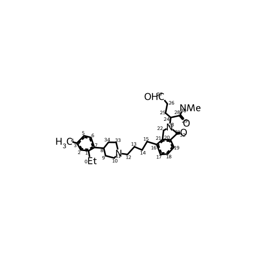 CCc1cc(C)ccc1C1CCN(CCCCc2cccc3c2CN(C(CCC=O)C(=O)NC)C3=O)CC1